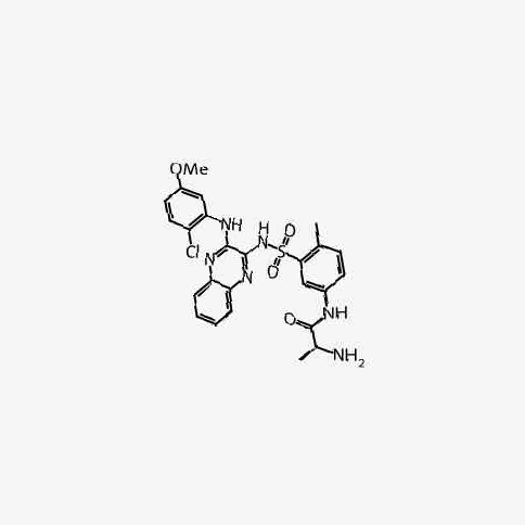 COc1ccc(Cl)c(Nc2nc3ccccc3nc2NS(=O)(=O)c2cc(NC(=O)[C@H](C)N)ccc2C)c1